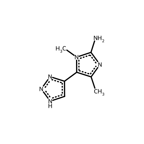 Cc1nc(N)n(C)c1-c1c[nH]nn1